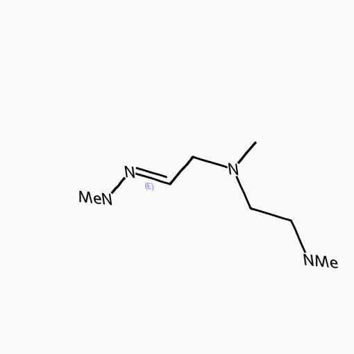 CNCCN(C)C/C=N/NC